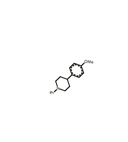 COc1ccc(C2CCN(C(C)C)CC2)cc1